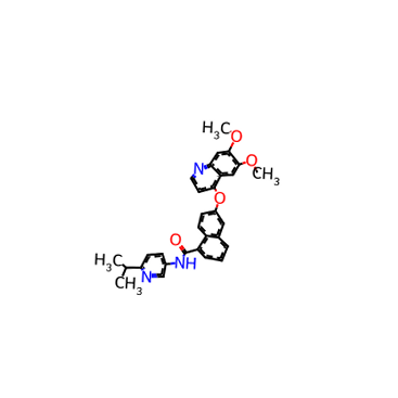 COc1cc2nccc(Oc3ccc4c(C(=O)Nc5ccc(C(C)C)nc5)cccc4c3)c2cc1OC